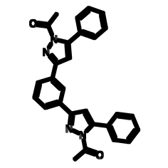 CC(=O)n1nc(-c2cccc(-c3cc(-c4ccccc4)n(C(C)=O)n3)c2)cc1-c1ccccc1